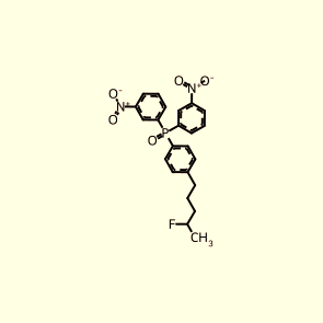 CC(F)CCCc1ccc(P(=O)(c2cccc([N+](=O)[O-])c2)c2cccc([N+](=O)[O-])c2)cc1